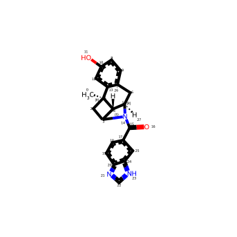 C[C@@]12CC3[C@H]1[C@@H](Cc1ccc(O)cc12)N3C(=O)c1ccc2nc[nH]c2c1